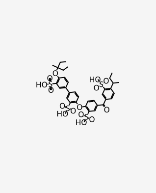 CCC(C)c1ccc(C(=O)c2ccc(Oc3ccc(-c4ccc(OC(C)(CC)CC)c(S(=O)(=O)O)c4)cc3S(=O)(=O)O)c(S(=O)(=O)O)c2)cc1S(=O)(=O)O